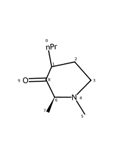 CCCC1CCN(C)[C@@H](C)C1=O